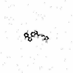 O=C(NCCN1CCNC1=O)c1cnn2ccc(N3CCCC3c3cc(F)ccc3F)nc12